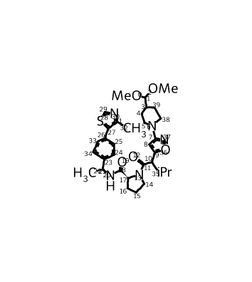 COC(OC)C1CCN(c2cc(C(C(=O)N3CCC[C@H]3C(=O)N[C@@H](C)c3ccc(-c4scnc4C)cc3)C(C)C)on2)CC1